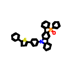 O=P1(c2ccccc2)c2ccccc2-c2cc3c(cc21)c1ccccc1n3-c1ccc(-c2ccc(-c3ccccc3)s2)cc1